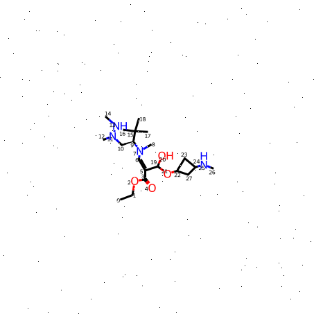 CCOC(=O)/C(=C/N(C)[C@@H](CN(C)NC)C(C)(C)C)C(O)OC1CC(NC)C1